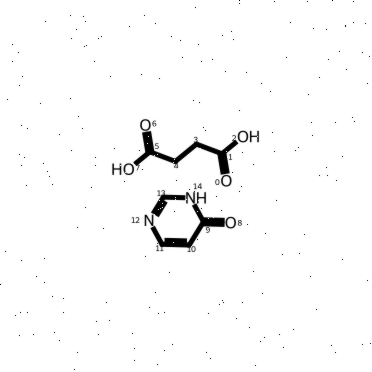 O=C(O)CCC(=O)O.O=c1ccnc[nH]1